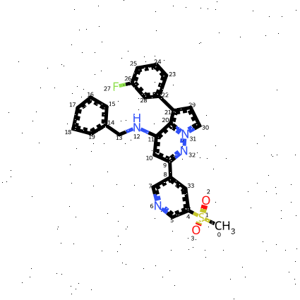 CS(=O)(=O)c1cncc(-c2cc(NCc3ccccc3)c3c(-c4cccc(F)c4)ccn3n2)c1